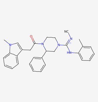 Cc1ccccc1N/C(=N/C#N)N1CCN(C(=O)Cc2cn(C)c3ccccc23)C(c2ccccc2)C1